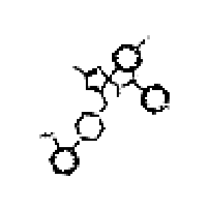 COc1ccccc1N1CCN(CC2=CC(C)=NC2(NC(=O)c2ccncc2)c2ccc(Cl)cc2)CC1